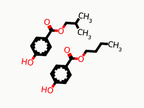 CC(C)COC(=O)c1ccc(O)cc1.CCCCOC(=O)c1ccc(O)cc1